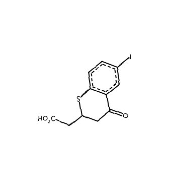 O=C(O)CC1CC(=O)c2cc(I)ccc2S1